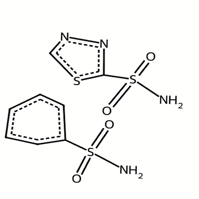 NS(=O)(=O)c1ccccc1.NS(=O)(=O)c1nncs1